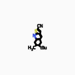 CC1Cc2nc3sc(C#N)cc3cc2CC1C(C)(C)C